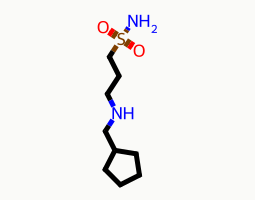 NS(=O)(=O)CCCNCC1CCCC1